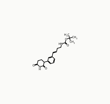 CC(C)(C)OC(=O)NCC/C=C/c1cccc(C2CCC(=O)NC2=O)c1